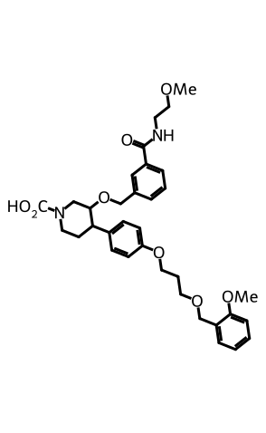 COCCNC(=O)c1cccc(COC2CN(C(=O)O)CCC2c2ccc(OCCCOCc3ccccc3OC)cc2)c1